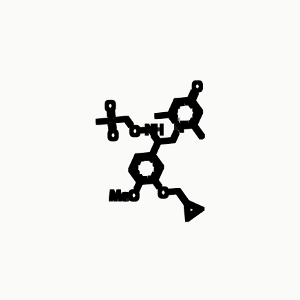 COc1ccc(C(Cn2c(C)cc(=O)cc2C)NOCS(C)(=O)=O)cc1OCC1CC1